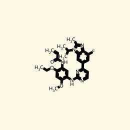 C=CC(=O)Nc1cc(Nc2nccc(-c3cc(F)c4nc(C)n(C(C)C)c4c3)n2)c(OC)cc1OCC